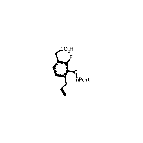 C=CCc1ccc(CC(=O)O)c(F)c1OCCCCC